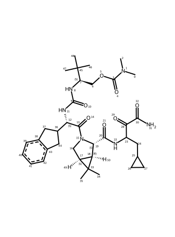 CN(C)C(=O)OC[C@@H](NC(=O)N[C@H](C(=O)N1C[C@H]2[C@@H]([C@H]1C(=O)NC(CC1CC1)C(=O)C(N)=O)C2(C)C)C1Cc2ccccc2C1)C(C)(C)C